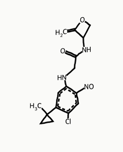 C=C1OCC1NC(=O)CNc1cc(C2(C)CC2)c(Cl)cc1N=O